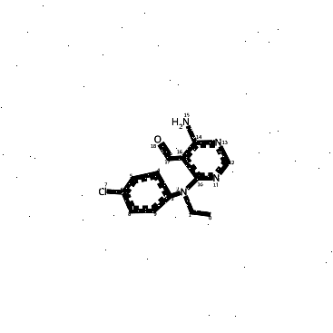 CCN(c1ccc(Cl)cc1)c1ncnc(N)c1C=O